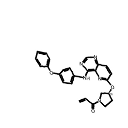 C=CC(=O)N1CC[C@H](Oc2ccc3ncnc(Nc4ccc(Oc5ccccc5)cc4)c3n2)C1